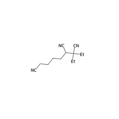 CCC(C#N)(CC)C(C#N)CCCCC#N